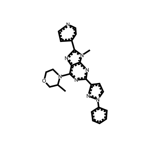 CC1COCCN1c1nc(-c2ccn(-c3ccccc3)n2)nc2c1nc(-c1ccncc1)n2C